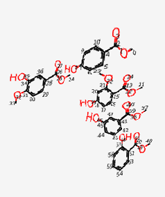 COC(=O)c1ccc(O)cc1.COC(=O)c1ccc(O)cc1OC.COC(=O)c1ccc(OC)c(O)c1.COC(=O)c1cccc(O)c1.COC(=O)c1ccccc1O